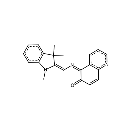 CN1/C(=C/N=C2\C(=O)C=Cc3ncccc32)C(C)(C)c2ccccc21